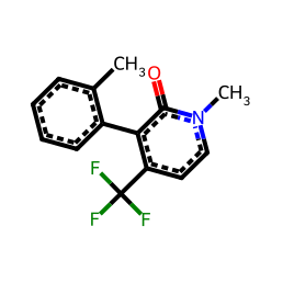 Cc1ccccc1-c1c(C(F)(F)F)ccn(C)c1=O